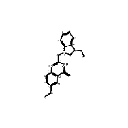 C=C1NC(CN2CC(CC)c3ccccc32)=Nc2ccc(CC)cc21